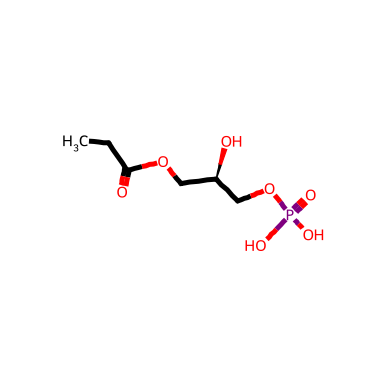 CCC(=O)OC[C@@H](O)COP(=O)(O)O